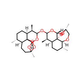 C[C@@H]1CC[C@H]2[C@@H](C)C(OC3O[C@@H]4O[C@]5(C)CO[C@H]6[C@H](C)CC[C@@H]([C@H]3C)[C@@]46OO5)O[C@@H]3O[C@]4(C)CC[C@@H]1C32OO4